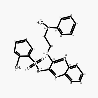 Cc1ccccc1S(=O)(=O)Nc1nc2ccccc2nc1OCCN(C)c1ccccc1